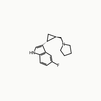 Fc1ccc2[nH]cc([C@@H]3C[C@H]3CN3CCCC3)c2c1